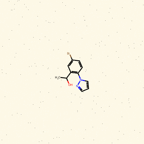 CC(O)c1cc(Br)ccc1-n1cccn1